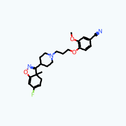 COc1cc(C#N)ccc1OCCCN1CCC(C2=NOC3=CC(F)=CCC32C)CC1